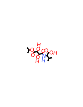 CC(C)OC(=O)C(O)C(O)C(=O)NC(C(=O)O)C(C)C